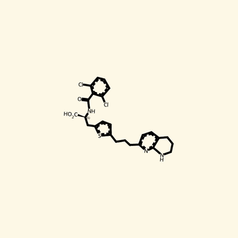 O=C(N[C@@H](Cc1ccc(CCCc2ccc3c(n2)NCCC3)s1)C(=O)O)c1c(Cl)cccc1Cl